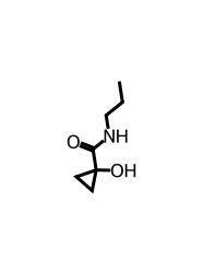 CCCNC(=O)C1(O)CC1